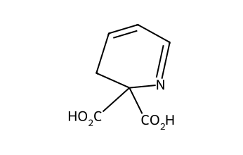 O=C(O)C1(C(=O)O)CC=CC=N1